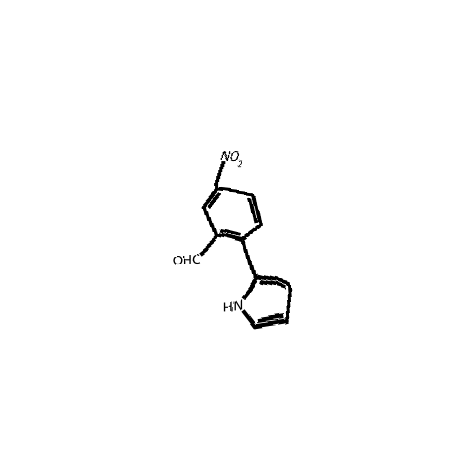 O=Cc1cc([N+](=O)[O-])ccc1-c1ccc[nH]1